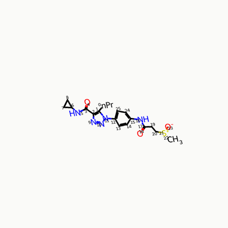 CCCc1c(C(=O)NC2CC2)nnn1-c1ccc(NC(=O)CC[S+](C)[O-])cc1